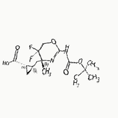 CC(C)(C)OC(=O)NC1=N[C@](C)([C@H]2C[C@@H]2C(=O)O)C(F)(F)CO1